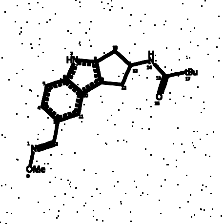 CON=Cc1ccc2[nH]c3c(c2c1)CC(NC(=O)C(C)(C)C)C3